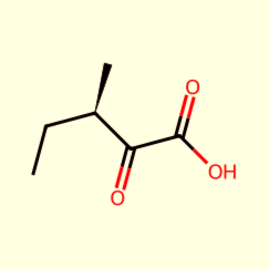 CC[C@@H](C)C(=O)C(=O)O